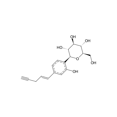 C#CCC=Cc1ccc([C@@H]2O[C@H](CO)[C@@H](O)[C@H](O)[C@H]2O)c(O)c1